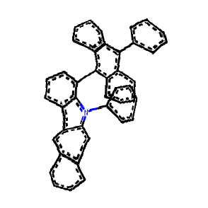 c1ccc(-c2c3ccccc3c(-c3cccc4c5cc6ccccc6cc5n(-c5ccccc5)c34)c3ccccc23)cc1